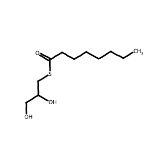 CCCCCCCC(=O)SCC(O)CO